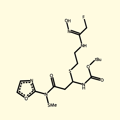 CSN(C(=O)CC(NC(=O)OC(C)(C)C)SCCNC(CF)=NO)c1ncco1